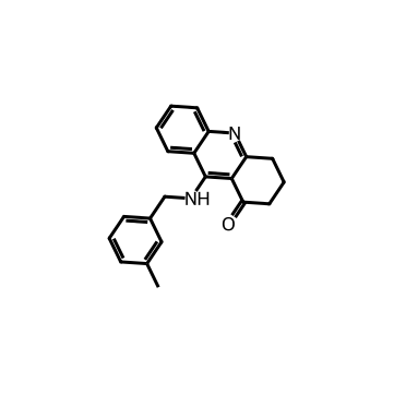 Cc1cccc(CNc2c3c(nc4ccccc24)CCCC3=O)c1